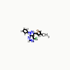 Cc1csc(-c2nn(C3CCCC3)c3ncnc(F)c23)c1